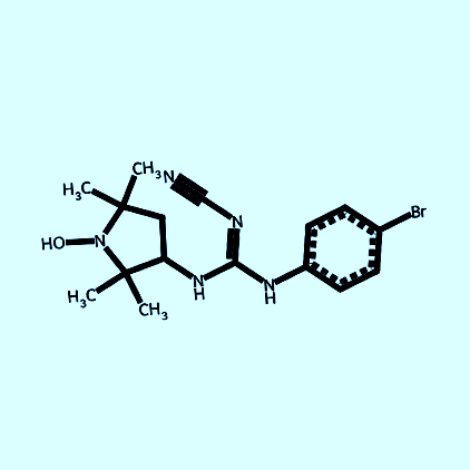 CC1(C)CC(NC(=NC#N)Nc2ccc(Br)cc2)C(C)(C)N1O